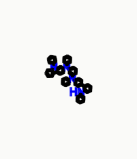 C1=CC(Nc2ccccc2-c2ccc(N(c3ccccc3)c3cccc(N(c4ccccc4)c4ccc5c6ccccc6n(-c6ccccc6)c5c4)c3)cc2)=CCC1